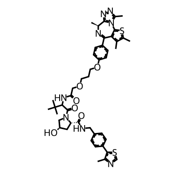 Cc1ncsc1-c1ccc(CNC(=O)[C@@H]2C[C@@H](O)CN2C(=O)C(NC(=O)COCCCOc2ccc(C3=N[C@@H](C)c4nnc(C)n4-c4sc(C)c(C)c43)cc2)C(C)(C)C)cc1